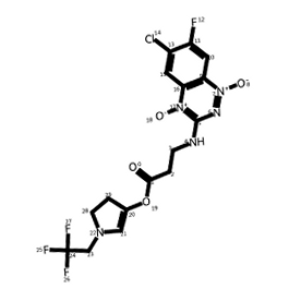 O=C(CCNc1n[n+]([O-])c2cc(F)c(Cl)cc2[n+]1[O-])OC1=CN(CC(F)(F)F)CC1